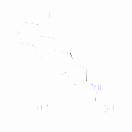 CNC(=O)N[C@@H]1C[C@H](COCc2c(Cl)cccc2Cl)N(C[C@@H](C)CN)C1